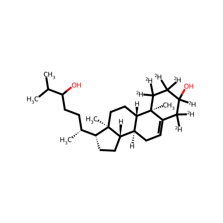 [2H]C1([2H])C2=CC[C@H]3[C@@H]4CC[C@H]([C@H](C)CCC(O)C(C)C)[C@@]4(C)CC[C@@H]3[C@@]2(C)C([2H])([2H])C([2H])([2H])C1([2H])O